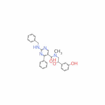 CN(CC(O)c1cccc(O)c1)C(=O)c1cnc(NCc2ccccc2)nc1-c1ccccc1